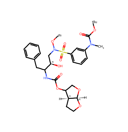 CC(C)ON(C[C@@H](O)C(Cc1ccccc1)NC(=O)OC1CO[C@H]2OCC[C@@H]12)S(=O)(=O)c1cccc(N(C)C(=O)OC(C)(C)C)c1